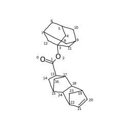 O=C(OC12CC3CC(CC(C3)C1)C2)C1CC2CC1C1C3C=CC(C3)C21